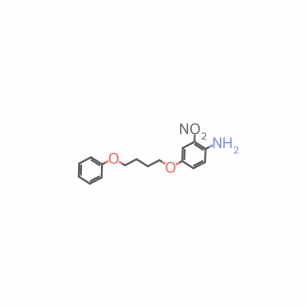 Nc1ccc(OCCCCOc2ccccc2)cc1[N+](=O)[O-]